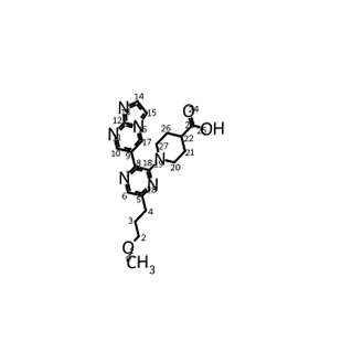 COCCCc1cnc(-c2cnc3nccn3c2)c(N2CCC(C(=O)O)CC2)n1